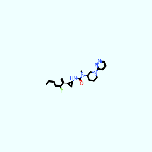 C=C(/C(F)=C\C=C/C)[C@H]1C[C@@H]1NC(=O)N(C)[C@@H]1CCCN(c2cccnn2)C1